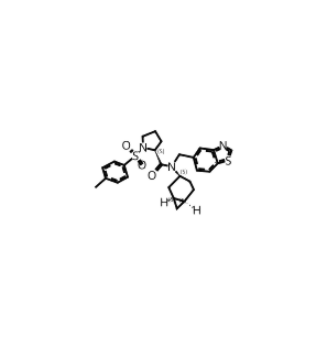 Cc1ccc(S(=O)(=O)N2CCC[C@H]2C(=O)N(Cc2ccc3scnc3c2)[C@H]2CC[C@H]3C[C@H]3C2)cc1